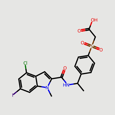 CC(NC(=O)c1cc2c(Cl)cc(I)cc2n1C)c1ccc(S(=O)(=O)CC(=O)O)cc1